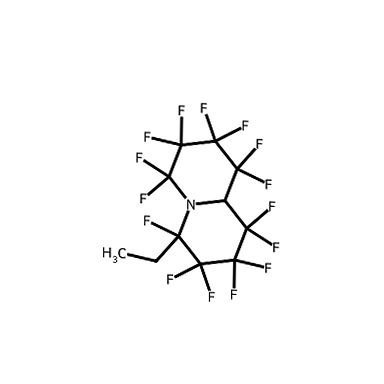 CCC1(F)N2C(C(F)(F)C(F)(F)C(F)(F)C2(F)F)C(F)(F)C(F)(F)C1(F)F